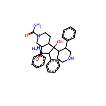 NC(=O)C(c1ccccc1)C(O)(C1CCNCC1c1ccccc1)C1CCN(C(N)=O)CC1c1ccccc1